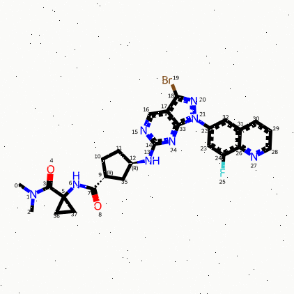 CN(C)C(=O)C1(NC(=O)[C@@H]2CC[C@@H](Nc3ncc4c(Br)nn(-c5cc(F)c6ncccc6c5)c4n3)C2)CC1